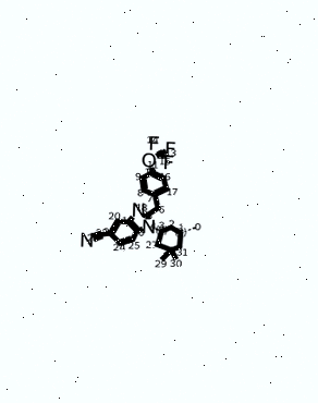 C[C@H]1C[C@@H](n2c(Cc3ccc(OC(F)(F)F)cc3)nc3cc(C#N)ccc32)CC(C)(C)C1